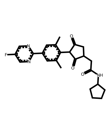 Cc1cc(-c2ncc(F)cn2)cc(C)c1C1C(=O)CC(CC(=O)NC2CCCC2)C1=O